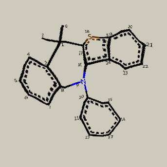 CC1(C)c2ccccc2N(c2ccccc2)c2c1sc1ccccc21